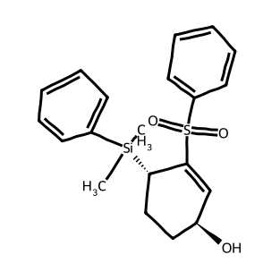 C[Si](C)(c1ccccc1)[C@H]1CC[C@H](O)C=C1S(=O)(=O)c1ccccc1